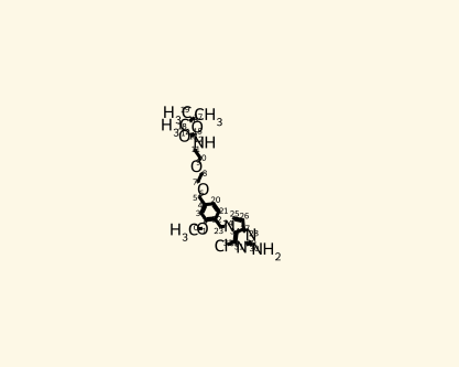 COc1cc(COCCOCCNC(=O)OC(C)(C)C)ccc1Cn1ccc2nc(N)nc(Cl)c21